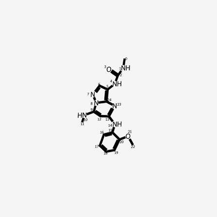 CNC(=O)Nc1cnn2c(NC)cc(Nc3ccccc3OC)nc12